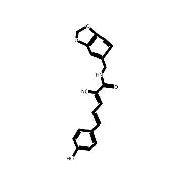 N#C/C(=C\C=C\c1ccc(O)cc1)C(=O)NCc1ccc2c(c1)OCO2